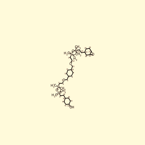 C[Si](C)(CCOCC1CCC(COCC[Si](C)(C)O[Si](C)(C)CCC2CCC3OC3C2)CC1)O[Si](C)(C)CCC1CCC(O)CC1